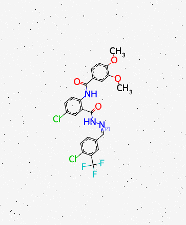 COc1ccc(C(=O)Nc2ccc(Cl)cc2C(=O)N/N=C\c2ccc(Cl)c(C(F)(F)F)c2)cc1OC